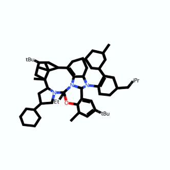 CCC12OC3C(=CC(C(C)(C)C)=CC3C)C3N(C4=C(C5CCCC(C)C5)CC(CC(C)C)CC4)C4CCCC(=C4N31)C1CC(C(C)(C)C)CC(C)(C3CC(C4CCCCC4)CN32)C1(C)C